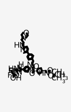 CC(C)(C)OC(=O)NC[C@H]1CC[C@H](C(=O)N(C(=O)[C@@H](N)Cc2ccc(-c3ccc(NCCN4CCOCC4)nc3)cc2)c2ccc(-c3nn[nH]n3)cc2)CC1.O=C(O)C(F)(F)F